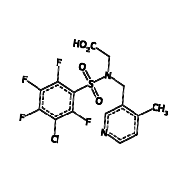 Cc1ccncc1CN(CC(=O)O)S(=O)(=O)c1c(F)c(F)c(F)c(Cl)c1F